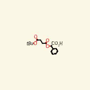 CC(C)(C)OC(=O)CCC(=O)OC(C(=O)O)c1ccccc1